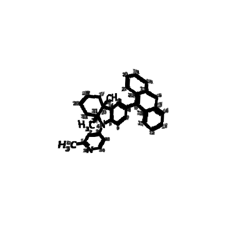 Cc1cc(N2c3ccc(-c4c5ccccc5cc5ccccc45)cc3C3(C)CCCCC23C)ccn1